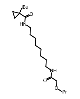 CCC(C)C1(C(=O)NCCCCCCCCNC(=O)COC(C)C)CC1